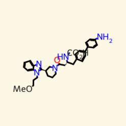 COCCCn1c([C@@H]2CCCN(C(=O)C[C@@H](Cc3ccc(-c4ccc(N)cc4)cc3)NC(=O)O)C2)nc2ccccc21